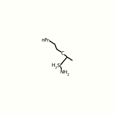 CCCCCCC(C)[SiH2]N